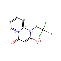 O=c1cc(O)n(CC(F)(F)F)c2cccc[n+]12